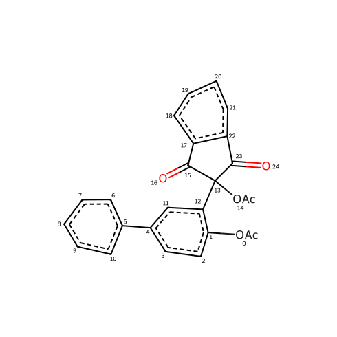 CC(=O)Oc1ccc(-c2ccccc2)cc1C1(OC(C)=O)C(=O)c2ccccc2C1=O